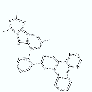 Cc1cc(C)c2sc3c(-c4ccccc4-c4ccc5c(c4)c4ccccc4c4nccnc54)cc(C)cc3c2c1